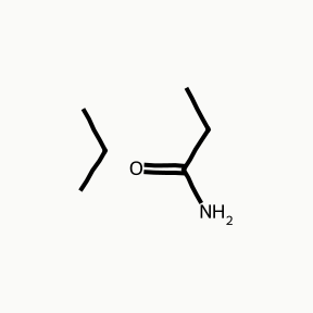 CCC.CCC(N)=O